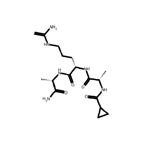 C=C(N)NCCC[C@H](NC(=O)[C@H](C)NC(=O)C1CC1)C(=O)N[C@@H](C)C(N)=O